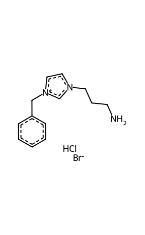 Cl.NCCCn1cc[n+](Cc2ccccc2)c1.[Br-]